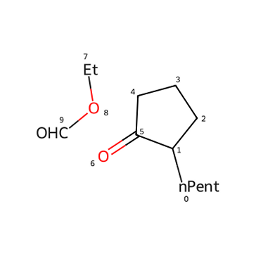 CCCCCC1CCCC1=O.CCOC=O